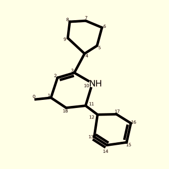 CC1C=C(C2CCCCC2)NC(C2C#CC=CC2)C1